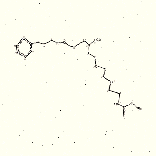 CC(C)(C)OC(=O)NCCOCCOCCN(CCOCCOCc1ccccc1)C(=O)O